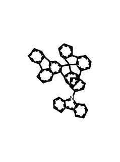 c1ccc2c(c1)-c1cccc3c4c(cc-2c13)C1(c2ccccc2-c2cccc(-c3ccc(-n5c6ccccc6c6ccccc65)cc3)c21)c1ccccc1-4